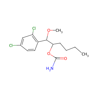 CCCCC(OC(N)=O)C(OC)c1ccc(Cl)cc1Cl